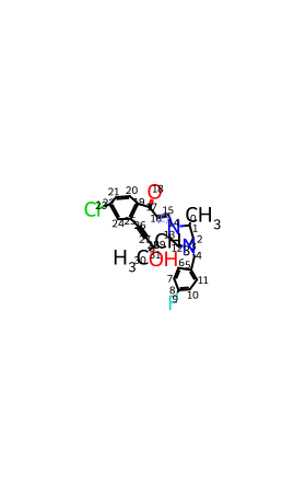 CC1CN(Cc2ccc(F)cc2)CCN1/C=C/C(=O)c1ccc(Cl)cc1C#CC(C)(C)O